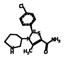 CC1=C(C(N)=O)S[C@H](c2ccc(Cl)cc2)N1C1CCCNC1